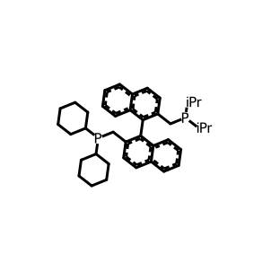 CC(C)P(Cc1ccc2ccccc2c1-c1c(CP(C2CCCCC2)C2CCCCC2)ccc2ccccc12)C(C)C